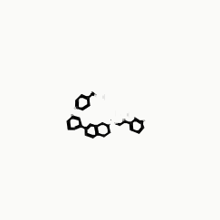 Cl.O=C(O)c1ccc(Oc2cccc(-c3ccc4c(c3)C[C@@H](NC[C@H](O)c3cccc(Cl)c3)CC4)c2)cc1